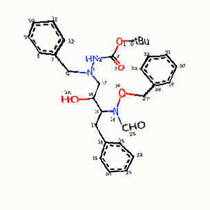 CC(C)(C)OC(=O)NN(Cc1ccccc1)CC(O)C(Cc1ccccc1)N(C=O)OCc1ccccc1